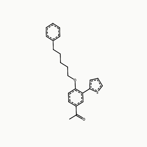 CC(=O)c1ccc(OCCCCCc2ccccc2)c(-c2cccs2)c1